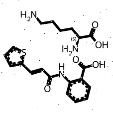 NCCCC[C@H](N)C(=O)O.O=C(C=Cc1cccs1)Nc1ccccc1C(=O)O